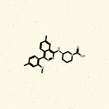 COc1cc(C)ccc1-c1nnc(N[C@@H]2CCCN(C(=O)O)C2)c2cc(C)ccc12